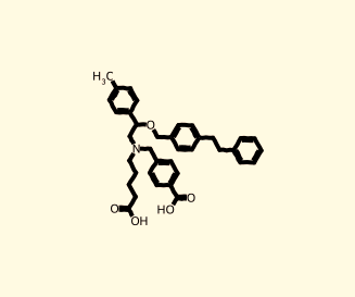 Cc1ccc(C(CN(CCCCC(=O)O)Cc2ccc(C(=O)O)cc2)OCc2ccc(CCc3ccccc3)cc2)cc1